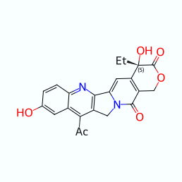 CC[C@@]1(O)C(=O)OCc2c1cc1n(c2=O)Cc2c-1nc1ccc(O)cc1c2C(C)=O